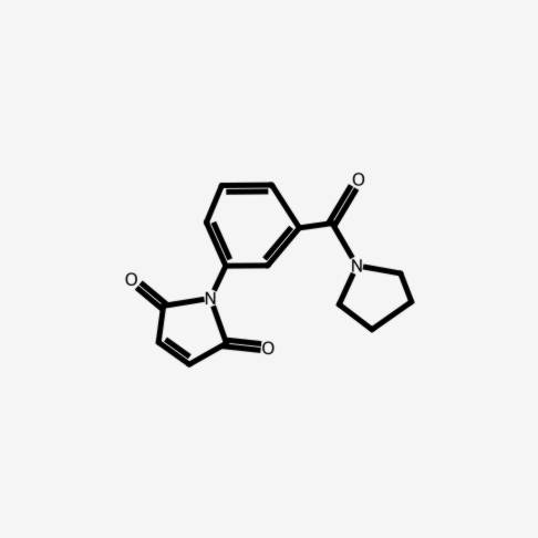 O=C(c1cccc(N2C(=O)C=CC2=O)c1)N1CCCC1